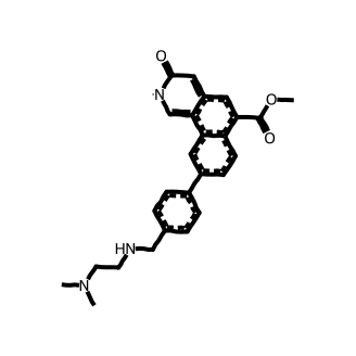 COC(=O)c1cc2c(c3cc(-c4ccc(CNCCN(C)C)cc4)ccc13)=C[N]C(=O)C=2